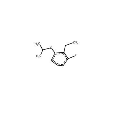 CCc1c(F)cccc1OC(C)C